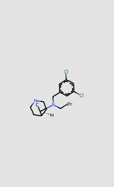 CC(C)CN(Cc1cc(Cl)cc(Cl)c1)[C@@H]1CN2CCC1CC2